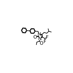 CCC(=O)n1c(C(F)F)c(CCC(C)C)n(Cc2ccc(-c3ccccc3)cc2)c1=O